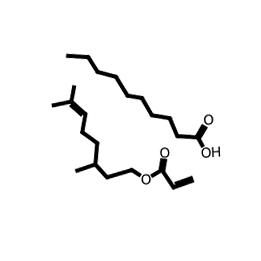 C=CC(=O)OCCC(C)CCC=C(C)C.CCCCCCCCCC(=O)O